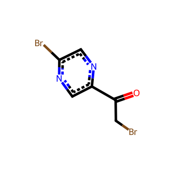 O=C(CBr)c1cnc(Br)cn1